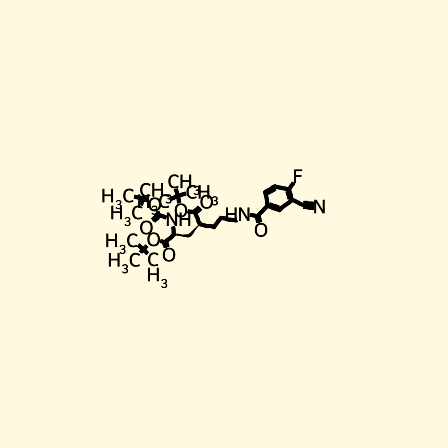 CC(C)(C)OC(=O)N[C@@H](C[C@H](CCCNC(=O)c1ccc(F)c(C#N)c1)C(=O)OC(C)(C)C)C(=O)OC(C)(C)C